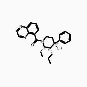 CCC[C@@H]1[C@H](CC)N(C(=O)c2cccc3nccnc23)CC[C@@]1(O)c1ccccc1